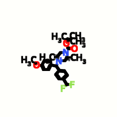 COc1ccc(C(c2ccc(C(F)F)cc2)N2C[C@H](C)N(C(=O)OC(C)(C)C)C[C@H]2C)cc1